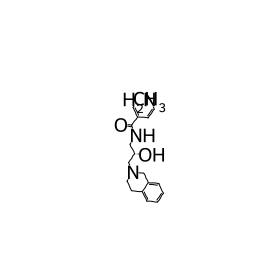 C/C=C(\C=C/N)C(=O)NC[C@H](O)CN1CCc2ccccc2C1